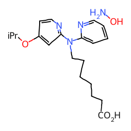 CC(C)Oc1ccnc(N(CCCCCCC(=O)O)c2ccccn2)c1.NO